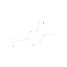 Cc1c[c]c(C2CC2)cc1C